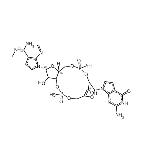 C=Nc1c(/C(N)=N\C)ccn1[C@@H]1O[C@@H]2COP(=O)(S)OC3C(O)=C(COP(=O)(S)OC2C1O)O[C@H]3n1ccc2c(=O)[nH]c(N)nc21